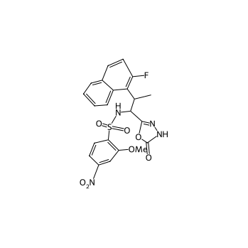 COc1cc([N+](=O)[O-])ccc1S(=O)(=O)NC(c1n[nH]c(=O)o1)C(C)c1c(F)ccc2ccccc12